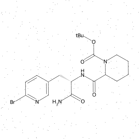 CC(C)(C)OC(=O)N1CCCCC1C(=O)N[C@@H](Cc1ccc(Br)nc1)C(N)=O